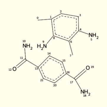 Cc1ccc(N)c(C)c1N.NC(=O)c1ccc(C(N)=O)cc1